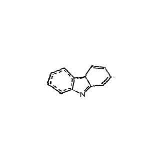 [C]1=CC2=Nc3ccccc3C2C=C1